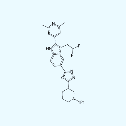 Cc1cc(-c2[nH]c3ccc(-c4nnc(C5CCCN(C(C)C)C5)o4)cc3c2CC(F)F)cc(C)n1